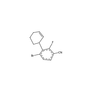 N#Cc1ccc(Br)c(C2C=CCCC2)c1F